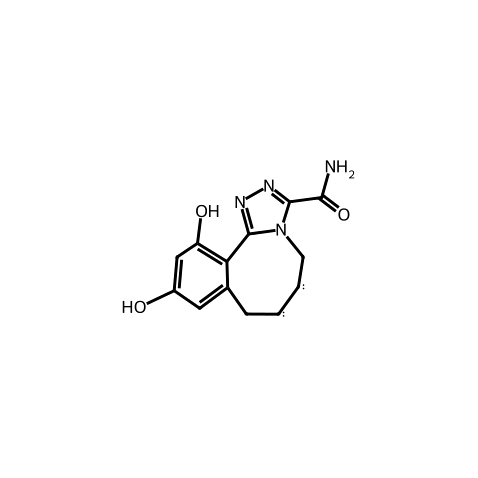 NC(=O)c1nnc2n1C[C][C]Cc1cc(O)cc(O)c1-2